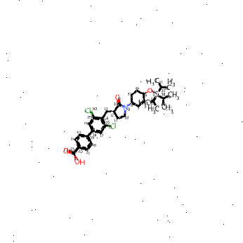 CC(C)[Si](O[C@H]1CC[C@@H](N2CC[C@@H](Cc3c(Cl)cc(-c4ccc(C(=O)O)cc4)cc3Cl)C2=O)CC1)(C(C)C)C(C)C